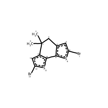 CC1(C)Cc2cc(Br)sc2-c2sc(Br)cc21